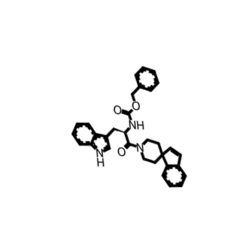 O=C(N[C@H](Cc1c[nH]c2ccccc12)C(=O)N1CCC2(C=Cc3ccccc32)CC1)OCc1ccccc1